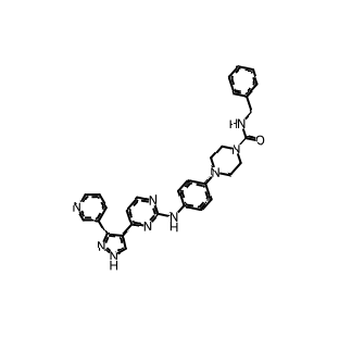 O=C(NCc1ccccc1)N1CCN(c2ccc(Nc3nccc(-c4c[nH]nc4-c4cccnc4)n3)cc2)CC1